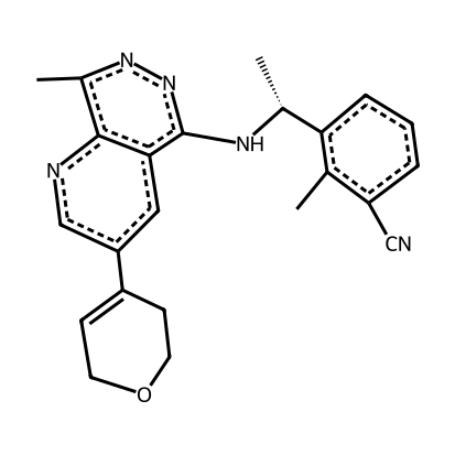 Cc1c(C#N)cccc1[C@@H](C)Nc1nnc(C)c2ncc(C3=CCOCC3)cc12